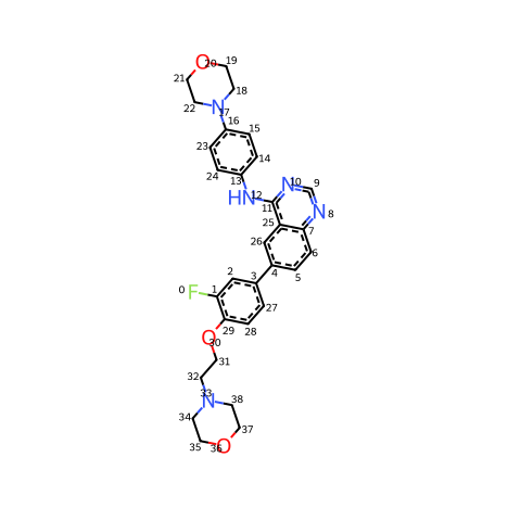 Fc1cc(-c2ccc3ncnc(Nc4ccc(N5CCOCC5)cc4)c3c2)ccc1OCCN1CCOCC1